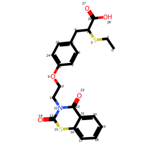 CCSC(Cc1ccc(OCCn2c(=O)sc3ccccc3c2=O)cc1)C(=O)O